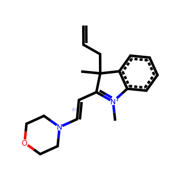 C=CCC1(C)C(/C=C/N2CCOCC2)=[N+](C)c2ccccc21